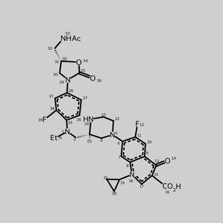 CCN(C[C@H]1CN(c2cc3c(cc2F)c(=O)c(C(=O)O)cn3C2CC2)CCN1)c1ccc(N2C[C@H](CNC(C)=O)OC2=O)cc1F